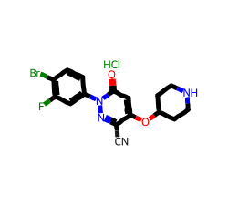 Cl.N#Cc1nn(-c2ccc(Br)c(F)c2)c(=O)cc1OC1CCNCC1